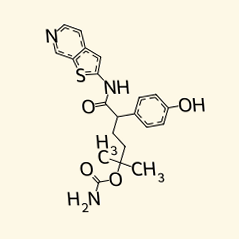 CC(C)(CCC(C(=O)Nc1cc2ccncc2s1)c1ccc(O)cc1)OC(N)=O